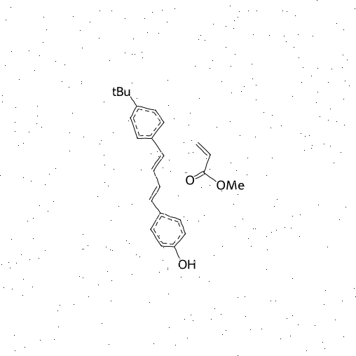 C=CC(=O)OC.CC(C)(C)c1ccc(C=CC=Cc2ccc(O)cc2)cc1